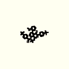 COc1ccccc1-c1ccc2c(c1C(=O)C(=O)c1ccc(C(C)(C)C)cc1)C(C)=CC(C)(C)N2C(=O)c1ccc(C(C)(C)C)cc1